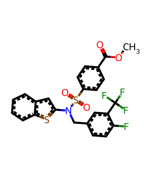 COC(=O)c1ccc(S(=O)(=O)N(Cc2ccc(F)c(C(F)(F)F)c2)c2cc3ccccc3s2)cc1